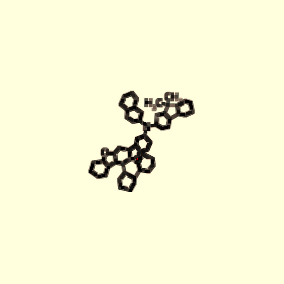 CC1(C)c2ccccc2-c2ccc(N(c3ccc4ccccc4c3)c3ccc4oc5c(-c6ccccc6-c6ccccc6)c6c(cc5c4c3)oc3ccccc36)cc21